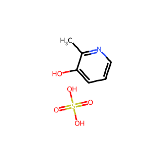 Cc1ncccc1O.O=S(=O)(O)O